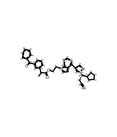 CC(C(=O)OCCn1ccc2c(-c3cnn([C@H](CC#N)C4CCCC4)c3)ncnc21)c1cccc(C(=O)c2ccccc2)c1